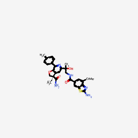 COc1cc(C(=O)NCC(O)(c2cc3c(c(-c4ccc(C)cc4)n2)OC[C@]3(C)C(N)=O)C(F)(F)F)cc2sc(N)nc12